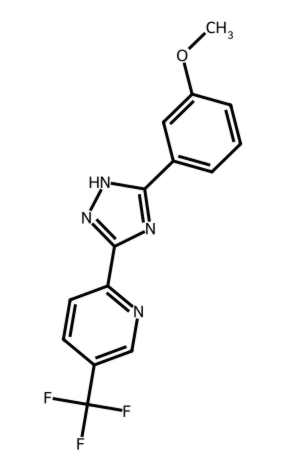 COc1cccc(-c2nc(-c3ccc(C(F)(F)F)cn3)n[nH]2)c1